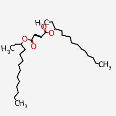 CCCCCCCCCCCC(CC)OC(=O)C=CC(=O)OC(CC)CCCCCCCCCCC